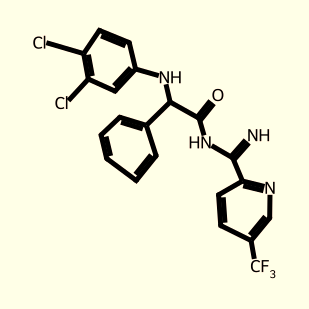 N=C(NC(=O)C(Nc1ccc(Cl)c(Cl)c1)c1ccccc1)c1ccc(C(F)(F)F)cn1